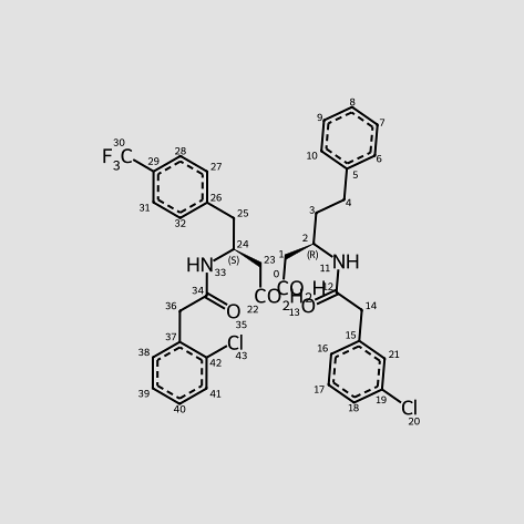 O=C(O)C[C@@H](CCc1ccccc1)NC(=O)Cc1cccc(Cl)c1.O=C(O)C[C@H](Cc1ccc(C(F)(F)F)cc1)NC(=O)Cc1ccccc1Cl